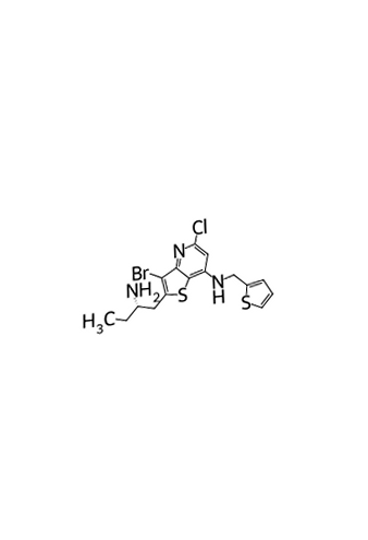 CC[C@H](N)Cc1sc2c(NCc3cccs3)cc(Cl)nc2c1Br